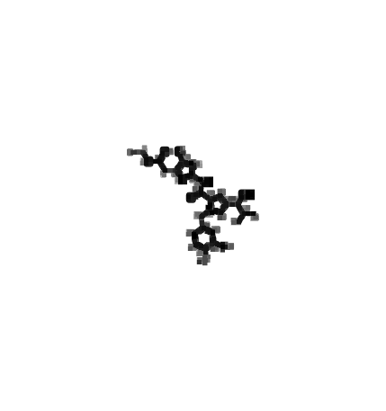 CCOC(=O)Cc1nc(NC(=O)c2cc(C(O)C(C)C)cn2Cc2ccc(F)c(F)c2)sc1Cl